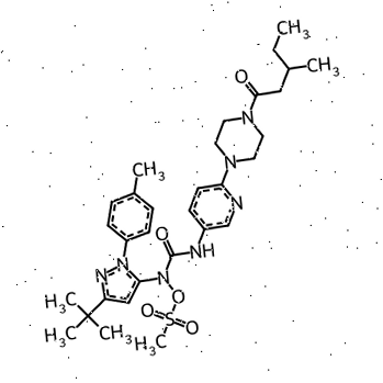 CCC(C)CC(=O)N1CCN(c2ccc(NC(=O)N(OS(C)(=O)=O)c3cc(C(C)(C)C)nn3-c3ccc(C)cc3)cn2)CC1